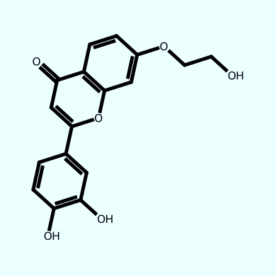 O=c1cc(-c2ccc(O)c(O)c2)oc2cc(OCCO)ccc12